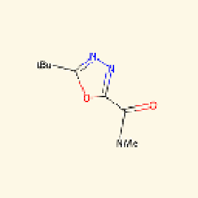 CNC(=O)c1nnc(C(C)(C)C)o1